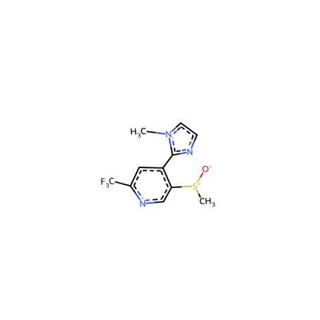 Cn1ccnc1-c1cc(C(F)(F)F)ncc1[S+](C)[O-]